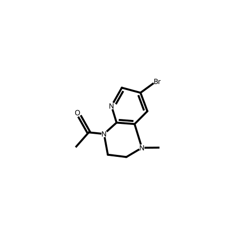 CC(=O)N1CCN(C)c2cc(Br)cnc21